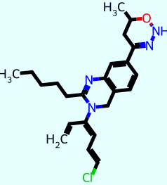 C=C/C(=C\C=C\Cl)N1Cc2ccc(C3=NNOC(C)C3)cc2N=C1CCCCC